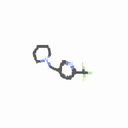 FC(F)(F)c1ccc(CN2CCCCC2)cn1